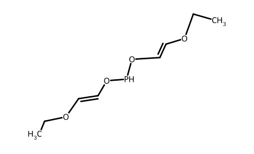 CCOC=COPOC=COCC